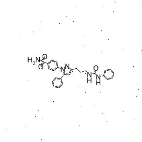 NS(=O)(=O)c1ccc(-n2nc(CCCNC(=O)Nc3ccccc3)cc2-c2ccccc2)cc1